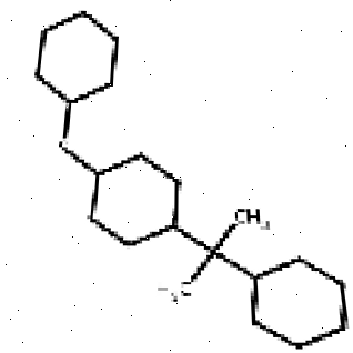 CC(C)(C1CCCCC1)C1CCC(SC2CCCCC2)CC1